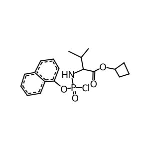 CC(C)C(NP(=O)(Cl)Oc1cccc2ccccc12)C(=O)OC1CCC1